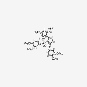 COc1cc(COP(=O)(OCc2ccc(OC(C)=O)c(OC)c2)c2occc2-c2nc(C)sc2CC(C)C)ccc1OC(C)=O